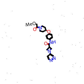 COCC(=O)N1CCC(Oc2ccc(NC(=O)C3CN(c4ccnnc4)C3)cc2)CC1